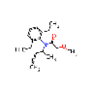 C=C=CC(C)N(C(=O)COC)c1c(CC)cccc1CC